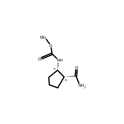 CC(C)(C)OC(=O)N[C@H]1CCC[C@H]1C(N)=O